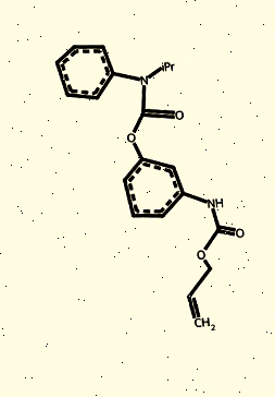 C=CCOC(=O)Nc1cccc(OC(=O)N(c2ccccc2)C(C)C)c1